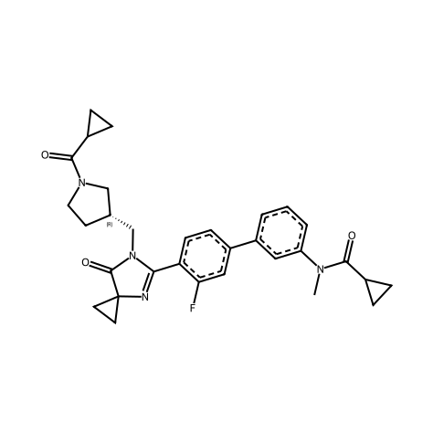 CN(C(=O)C1CC1)c1cccc(-c2ccc(C3=NC4(CC4)C(=O)N3C[C@@H]3CCN(C(=O)C4CC4)C3)c(F)c2)c1